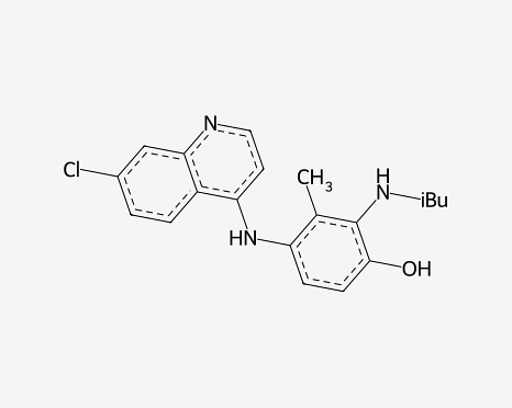 CCC(C)Nc1c(O)ccc(Nc2ccnc3cc(Cl)ccc23)c1C